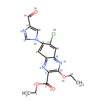 CCOC(=O)c1nc2cc(-n3cnc(C=O)c3)c(Cl)cc2nc1OCC